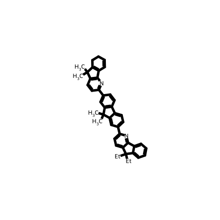 CCC1(CC)c2ccccc2-c2nc(-c3ccc4c(c3)C(C)(C)c3cc(-c5ccc6c(n5)C5=C(CCC=C5)C6(C)C)ccc3-4)ccc21